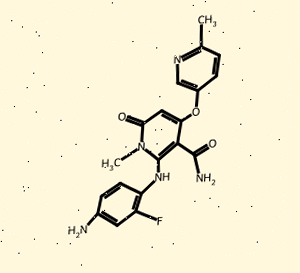 Cc1ccc(Oc2cc(=O)n(C)c(Nc3ccc(N)cc3F)c2C(N)=O)cn1